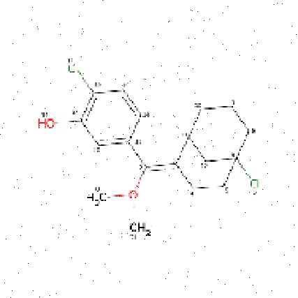 COC(=C1CCC2(Cl)CCCC1C2)c1ccc(Cl)c(O)c1.[CH2]